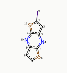 Ic1cc2nc3sccc3nc2s1